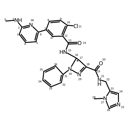 CNc1cccc(-c2ccc(Cl)c(C(=O)Nc3cc(C(=O)NCc4cncn4C)nn3-c3ccccc3)c2)n1